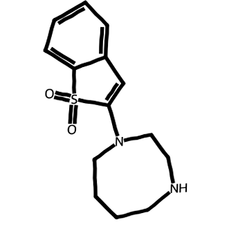 O=S1(=O)C(N2CCCCNCC2)=Cc2ccccc21